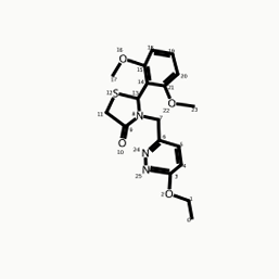 CCOc1ccc(CN2C(=O)CSC2c2c(OC)cccc2OC)nn1